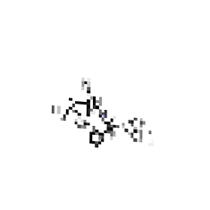 CCC(C)Cn1c(/N=N/c2sc(N(CC)CC)nc2-c2ccccc2)nc(C#N)c1C#N